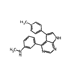 CNc1cccc(-c2ncnc3[nH]cc(-c4ccc(C)cc4)c23)c1